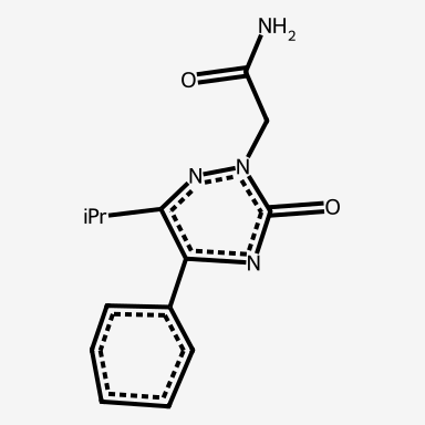 CC(C)c1nn(CC(N)=O)c(=O)nc1-c1ccccc1